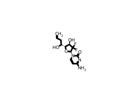 C=CCC(O)[C@H]1O[C@@H](n2ccc(N)nc2=O)C(F)(F)[C@@H]1O